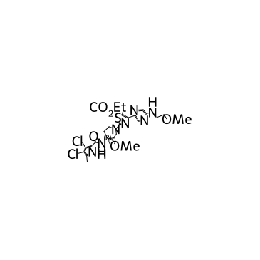 CCOC(=O)c1sc(N2CC[C@@H](NC(=O)c3[nH]c(C)c(Cl)c3Cl)[C@@H](OC)C2)nc1-c1cnc(NCCOC)cn1